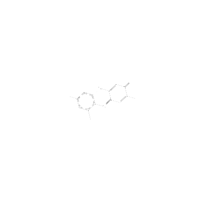 CC1=C/C(=N/c2ccc(O)cc2C)C(N)=CC1=O